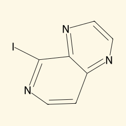 Ic1nccc2nccnc12